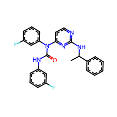 CC(Nc1nccc(N(C(=O)Nc2cccc(F)c2)c2cccc(F)c2)n1)c1ccccc1